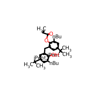 C=CC(=O)Oc1c(CCCC)cc(C(C)(C)C(C)CCC)cc1Cc1cc(C(C)(C)C(C)CCC)cc(CCCC)c1O